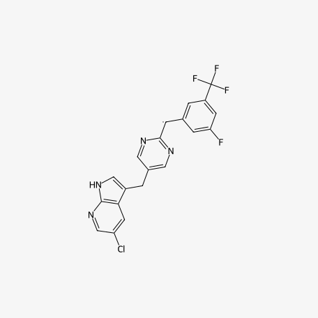 Fc1cc([CH]c2ncc(Cc3c[nH]c4ncc(Cl)cc34)cn2)cc(C(F)(F)F)c1